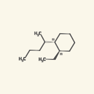 CCCC(C)[C@@H]1CCCC[C@H]1CC